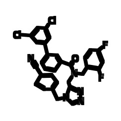 N#Cc1ccc(Cn2cnnc2CN(Cc2ccc(F)cc2F)C(=O)c2cccc(-c3cc(Cl)cc(Cl)c3)c2)cc1